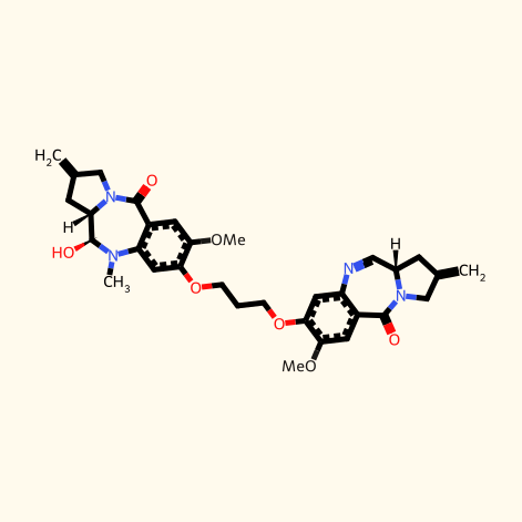 C=C1C[C@H]2C=Nc3cc(OCCCOc4cc5c(cc4OC)C(=O)N4CC(=C)C[C@H]4[C@H](O)N5C)c(OC)cc3C(=O)N2C1